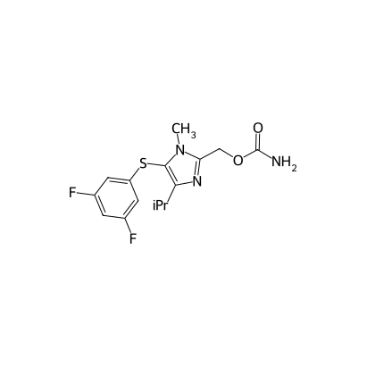 CC(C)c1nc(COC(N)=O)n(C)c1Sc1cc(F)cc(F)c1